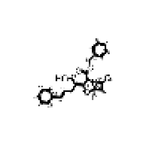 O=C(OCc1ccccc1)C1C(=C(CO)C/C=C/c2ccccc2)O[C@@H]2CC(=O)N12